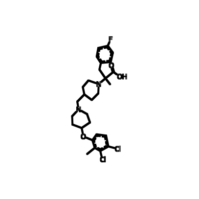 Cc1c(OC2CCN(CC3CCN(C(C)(Cc4ccc(F)cc4)C(=O)O)CC3)CC2)ccc(Cl)c1Cl